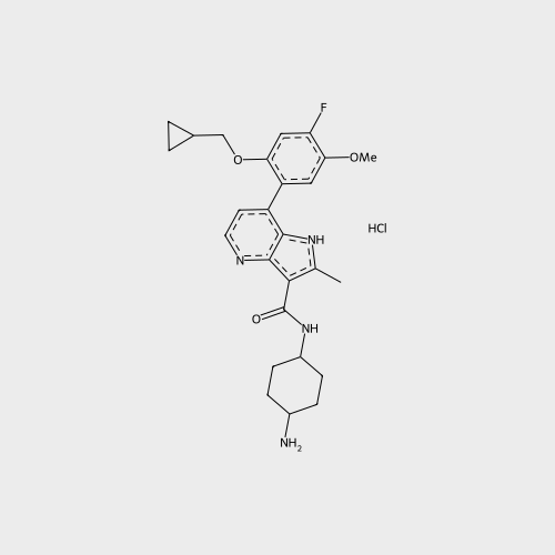 COc1cc(-c2ccnc3c(C(=O)NC4CCC(N)CC4)c(C)[nH]c23)c(OCC2CC2)cc1F.Cl